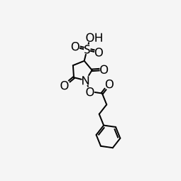 O=C(CCC1=CCCC=C1)ON1C(=O)CC(S(=O)(=O)O)C1=O